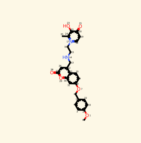 COc1ccc(COc2ccc3c(CNCCn4ccc(=O)c(O)c4C)cc(=O)oc3c2)cc1